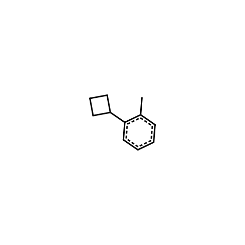 Cc1ccccc1C1CCC1